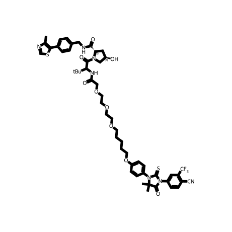 Cc1ncsc1-c1ccc(CNC(=O)[C@@H]2C[C@@H](O)CN2C(=O)C(NC(=O)COCCOCCOCCCCCOc2ccc(N3C(=S)N(c4ccc(C#N)c(C(F)(F)F)c4)C(=O)C3(C)C)cc2)C(C)(C)C)cc1